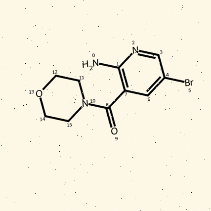 Nc1ncc(Br)cc1C(=O)N1CCOCC1